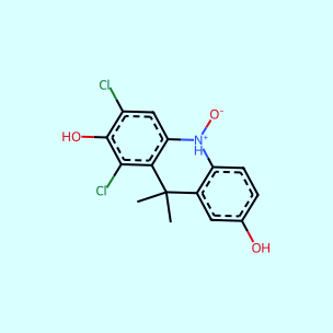 CC1(C)c2cc(O)ccc2[NH+]([O-])c2cc(Cl)c(O)c(Cl)c21